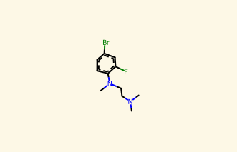 CN(C)CCN(C)c1ccc(Br)cc1F